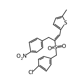 Cc1ccc(/C=C(\Cc2ccc([N+](=O)[O-])cc2)S(=O)(=O)Cc2ccc(Cl)cc2)s1